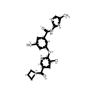 Cc1csc(NC(=O)c2cc(O)cc(Oc3ncc(C(=O)N4CCC4)cc3Cl)c2)n1